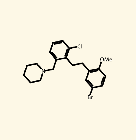 COc1ccc(Br)cc1CCc1c(Cl)cccc1CN1CCCCC1